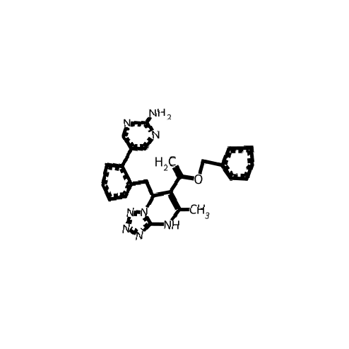 C=C(OCc1ccccc1)C1=C(C)Nc2nnnn2C1Cc1ccccc1-c1cnc(N)nc1